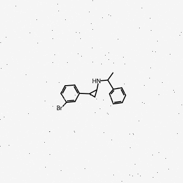 CC(NC1CC1c1cccc(Br)c1)c1ccccc1